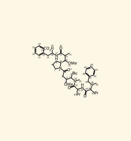 CCC(C)C(C(CC(=O)N1CCC[C@H]1C(OC)C(C)C(=O)NC(Cc1ccccc1)C(=O)O)OC)N(C)C(=O)C(NC(=O)C(C(C)C)N(C)Cc1ccncc1)C(C)C